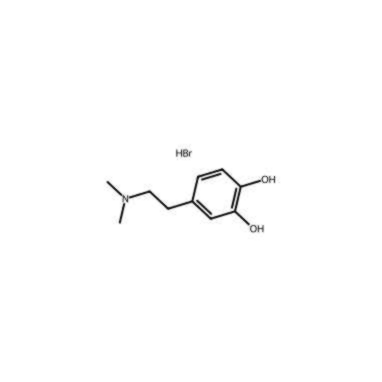 Br.CN(C)CCc1ccc(O)c(O)c1